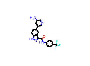 Nc1cncc(-c2ccc3[nH]nc(C(=O)Nc4ccc(C(F)(F)F)cc4)c3c2)c1